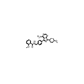 COc1ccccc1C(=O)NCc1ccc(-c2nn(C3CCC(OC)CC3)c3ncnc(N)c23)cc1